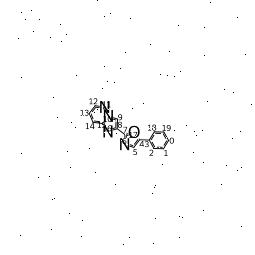 c1ccc(-c2cnc(-c3cn4ncccc4n3)o2)cc1